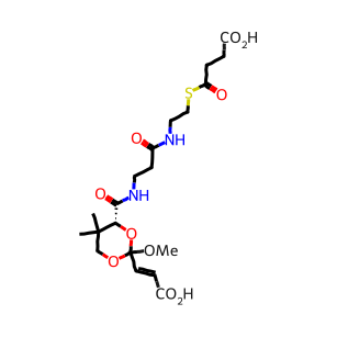 COC1(/C=C/C(=O)O)OCC(C)(C)[C@H](C(=O)NCCC(=O)NCCSC(=O)CCC(=O)O)O1